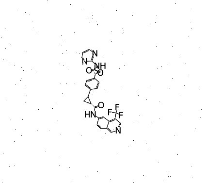 O=C(Nc1ccc2cncc(C(F)(F)F)c2c1)[C@@H]1CC1c1ccc(S(=O)(=O)Nc2ncccn2)cc1